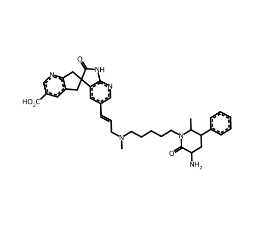 CC1C(c2ccccc2)CC(N)C(=O)N1CCCCCN(C)C/C=C/c1cnc2c(c1)C1(Cc3cc(C(=O)O)cnc3C1)C(=O)N2